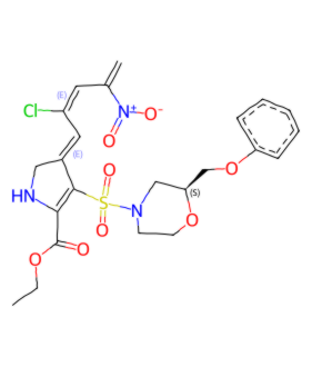 C=C(/C=C(Cl)\C=C1/CNC(C(=O)OCC)=C1S(=O)(=O)N1CCO[C@H](COc2ccccc2)C1)[N+](=O)[O-]